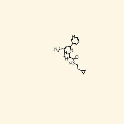 Cc1cc(-c2cccnc2)nc2c(C(=O)NCCC3CC3)ncn12